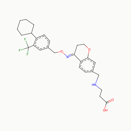 O=C(O)CCNCc1ccc2c(c1)OCC/C2=N\OCc1ccc(C2CCCCC2)c(C(F)(F)F)c1